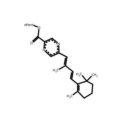 CCCCCOC(=O)c1cnc(/C=C(\C)C=CC2=C(C)CCCC2(C)C)cn1